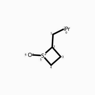 CC(C)CC1CC[S+]1[O-]